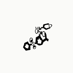 CC(C)c1ccc(S(=O)(=O)c2ccccc2)cc1S(=O)(=O)NC1CCOCC1